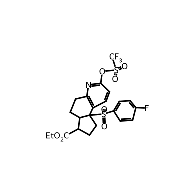 CCOC(=O)C1CCC2(S(=O)(=O)c3ccc(F)cc3)c3ccc(OS(=O)(=O)C(F)(F)F)nc3CCC12